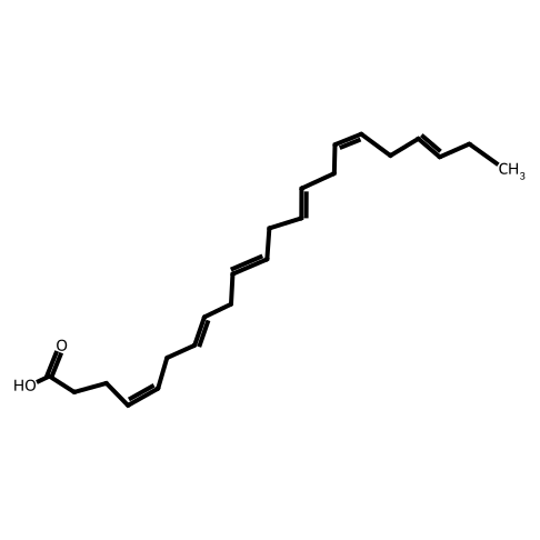 CC/C=C/C/C=C\C/C=C/C/C=C/C/C=C/C/C=C\CCC(=O)O